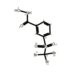 O=C(NO)c1cccc(S(=O)(=O)C(Br)(Br)Br)c1